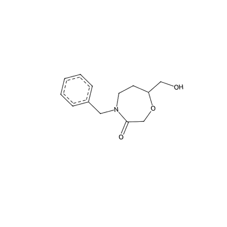 O=C1COC(CO)CCN1Cc1ccccc1